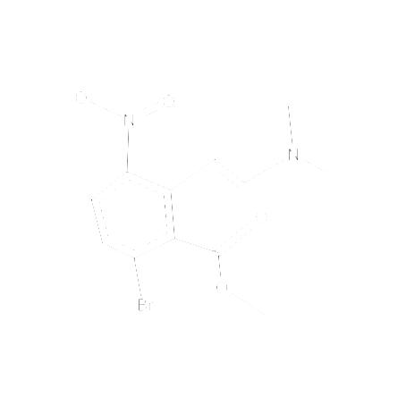 COC(=O)c1c(Br)ccc([N+](=O)[O-])c1/C=C/N(C)C